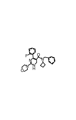 O=C(C1=C(c2ccccc2F)N=C(N2CCOCC2)NC1)N(Cc1ccccc1)C1CCC1